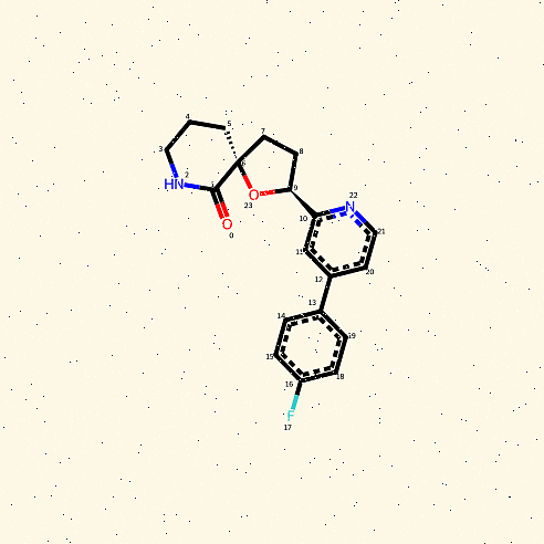 O=C1NCCC[C@@]12CC[C@@H](c1cc(-c3ccc(F)cc3)ccn1)O2